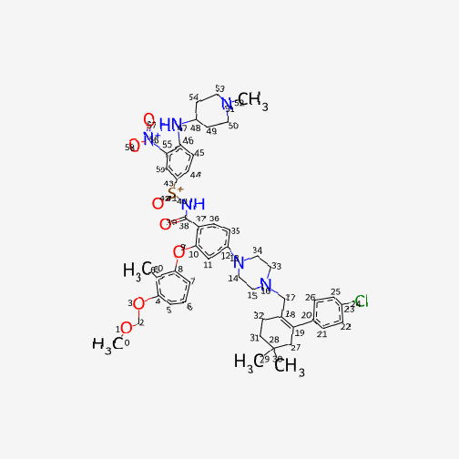 COCOc1cccc(Oc2cc(N3CCN(CC4=C(c5ccc(Cl)cc5)CC(C)(C)CC4)CC3)ccc2C(=O)N[S+]([O-])c2ccc(NC3CCN(C)CC3)c([N+](=O)[O-])c2)c1C